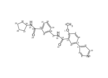 COc1ccc(-c2ccncc2)cc1C(=O)NCc1cccc(C(=O)NC2CCCC2)c1